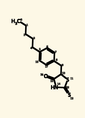 CCCCCc1ccc(CC2SC(=S)NC2=O)cc1